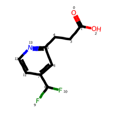 O=C(O)CCc1cc(C(F)F)ccn1